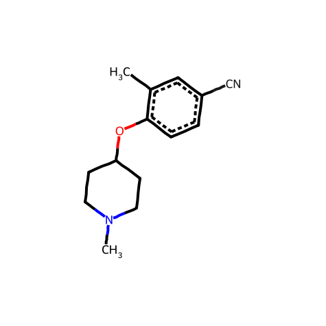 Cc1cc(C#N)ccc1OC1CCN(C)CC1